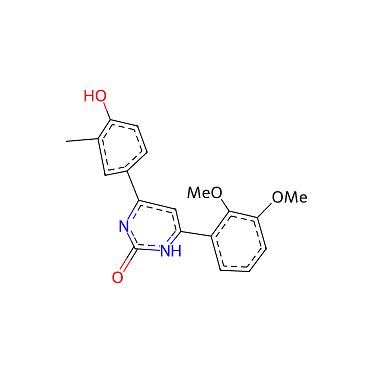 COc1cccc(-c2cc(-c3ccc(O)c(C)c3)nc(=O)[nH]2)c1OC